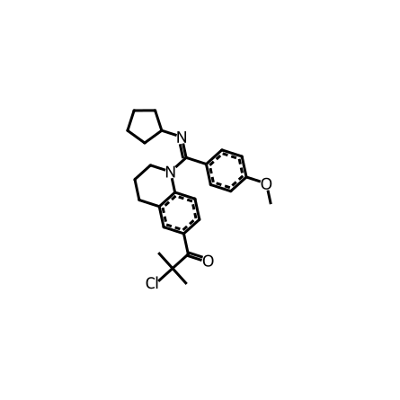 COc1ccc(/C(=N/C2CCCC2)N2CCCc3cc(C(=O)C(C)(C)Cl)ccc32)cc1